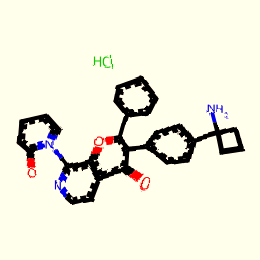 Cl.NC1(c2ccc(-c3c(-c4ccccc4)oc4c(-n5ccccc5=O)nccc4c3=O)cc2)CCC1